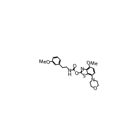 COc1cccc(CCNC(=O)Oc2nc3c(OC)ccc(N4CCOCC4)c3s2)c1